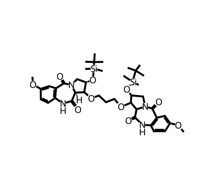 COc1ccc2c(c1)C(=O)N1CC(O[Si](C)(C)C(C)(C)C)C(OCCCOC3[C@H]4C(=O)Nc5ccc(OC)cc5C(=O)N4C[C@H]3O[Si](C)(C)C(C)(C)C)C1C(=O)N2